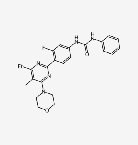 CCc1nc(-c2ccc(NC(=O)Nc3ccccc3)cc2F)nc(N2CCOCC2)c1C